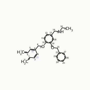 C=C/C=C\C(=C/C=C)COc1ccc(CNCC)cc1OCc1ccccc1